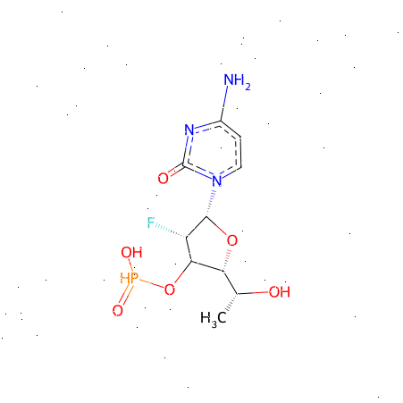 C[C@@H](O)[C@H]1O[C@@H](n2ccc(N)nc2=O)[C@@H](F)C1O[PH](=O)O